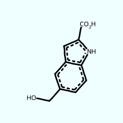 O=C(O)c1cc2cc(CO)ccc2[nH]1